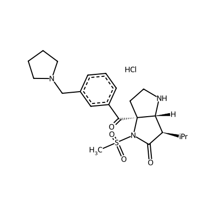 CC(C)[C@H]1C(=O)N(S(C)(=O)=O)[C@@]2(C(=O)c3cccc(CN4CCCC4)c3)CCN[C@H]12.Cl